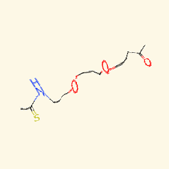 CC(=O)CCOCCOCCNC(C)=S